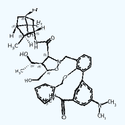 CNC(=O)c1cc(-c2cccc(CN3O[C@@H](CO)[C@@H]([C@H](C)O)[C@H]3C(=O)N[C@H]3C[C@H]4C[C@@H]([C@@H]3C)C4(C)C)c2OCc2ccccn2)cc(N(C)C)c1